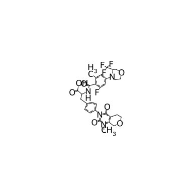 Cc1cc(N2CCOCC2C(F)(F)F)cc(F)c1C(=O)NC(Cc1ccc(-n2c(=O)c3c(n(C)c2=O)COCC3)cc1)C(=O)O